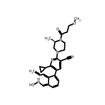 C=C/C=c1/c(-c2cc(C#N)c(N3CCN(C(=O)CCOC)[C@H](C)C3)nc2C2CC2)ccc/c1=C/NO